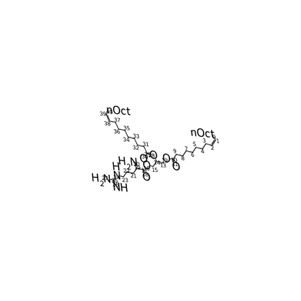 CCCCCCCC/C=C\CCCCCCCC(=O)OCC(COC(=O)C(N)CCCNC(=N)N)OC(=O)CCCCCCC/C=C\CCCCCCCC